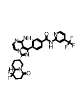 Nc1nccn2c([C@H]3CC[C@H]4N(C3)C(=O)CCC4(F)F)nc(-c3ccc(C(=O)Nc4cc(C(F)(F)F)ccn4)cc3)c12